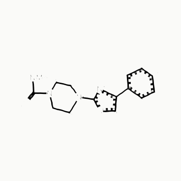 CNC(=O)N1CCN(c2nc(-c3ccccc3)cs2)CC1